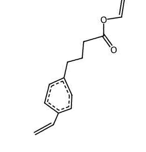 C=COC(=O)CCCc1ccc(C=C)cc1